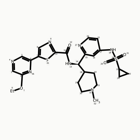 CCOc1cncc(-c2cnc(C(=O)N[C@@H](c3cc(NS(=O)(=O)C4CC4)ccn3)C3CCN(C)CC3)s2)n1